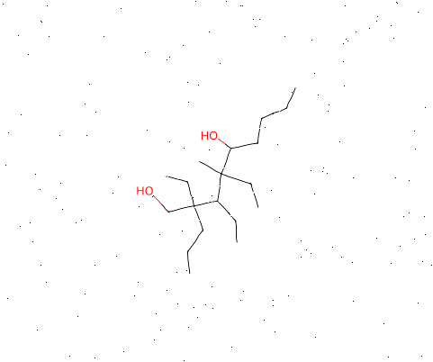 CCCCC(O)C(C)(CC)C(CC)C(CC)(CO)CCC